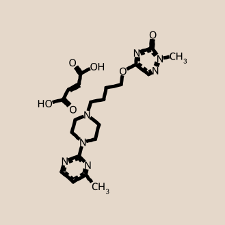 Cc1ccnc(N2CCN(CCCCOc3cnn(C)c(=O)n3)CC2)n1.O=C(O)/C=C/C(=O)O